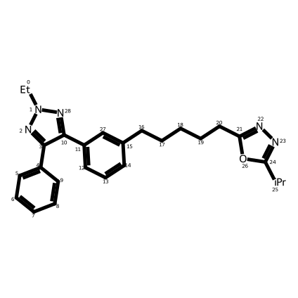 CCn1nc(-c2ccccc2)c(-c2cccc(CCCCCc3nnc(C(C)C)o3)c2)n1